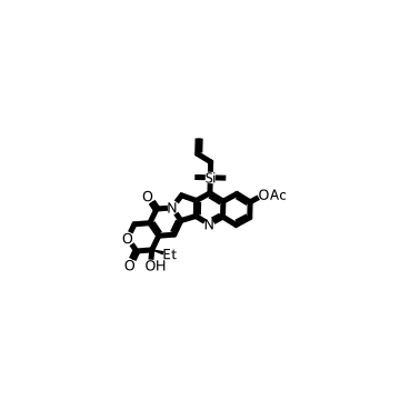 C=CC[Si](C)(C)c1c2c(nc3ccc(OC(C)=O)cc13)-c1cc3c(c(=O)n1C2)COC(=O)[C@]3(O)CC